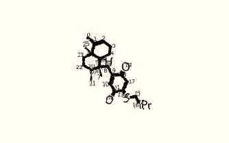 CC1=CCC[C@H]2[C@](C)(CC3=CC(=O)C(SCC(C)C)=CC3=O)[C@@H](C)CC[C@]12C